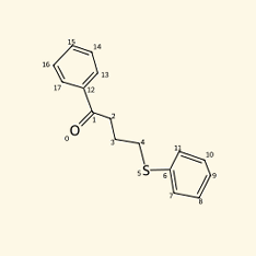 O=C(CCCSc1ccccc1)c1ccccc1